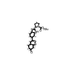 CC(C)(C)OC(=O)N1CCC[C@H]1c1nc2ccc(-c3cc4ccc(Cl)cc4nn3)cc2[nH]1